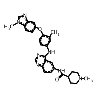 Cc1cc(Nc2ncnc3ccc(NC(=O)C4CCN(C)CC4)cc23)ccc1Oc1ccc2c(c1)ncn2C